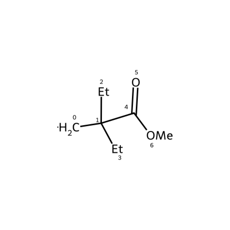 [CH2]C(CC)(CC)C(=O)OC